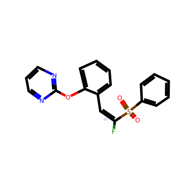 O=S(=O)(/C(F)=C\c1ccccc1Oc1ncccn1)c1ccccc1